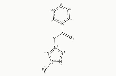 O=C(Cn1cnc(C(F)(F)F)n1)c1ccccc1